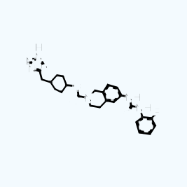 O=C(Nc1ccc2c(c1)CCN(C(=O)OC1CCC(Cc3nn[nH]n3)CC1)C2)Nc1ccccc1F